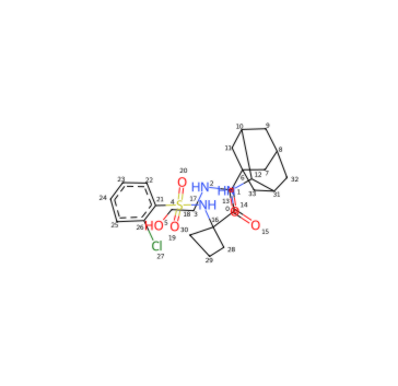 O=C(NCCO)C12CC3CC(C1)C(NC(=O)C1(NS(=O)(=O)c4ccccc4Cl)CCC1)C(C3)C2